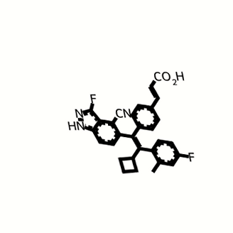 Cc1cc(F)ccc1C(=C(c1ccc(C=CC(=O)O)cc1)c1ccc2[nH]nc(F)c2c1C#N)C1CCC1